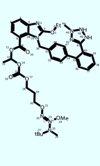 CCOc1nc2cccc(C(=O)OC(C)OC(=O)OCCCO/N=[N+](\OC)N(C)C(C)(C)C)c2n1Cc1ccc(-c2ccccc2C2=NN(C)NN2)cc1